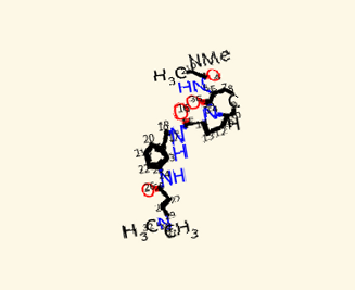 CN[C@@H](C)C(=O)N[C@H]1CCCC[C@H]2CC[C@@H](C(=O)NCc3cccc(NC(=O)C=CCN(C)C)c3)N2C1=O